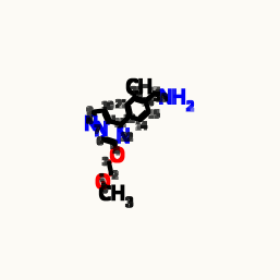 COCCOc1cn2nccc2c(-c2ccc(CN)c(C)c2)n1